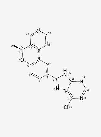 C[C@H](Oc1ccc(-c2nc3c(Cl)ncnc3[nH]2)cc1)c1ccccc1